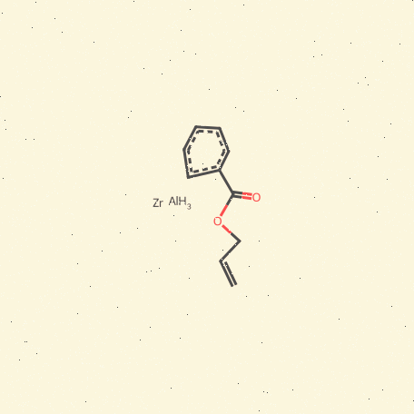 C=CCOC(=O)c1ccccc1.[AlH3].[Zr]